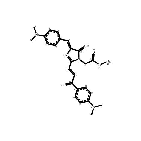 CN(C)c1ccc(/C=C2N=C(/C=C/C(=O)c3ccc(N(C)C)cc3)N(CC(=O)OC(C)(C)C)C\2=O)cc1